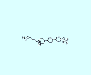 CCCCC[SiH]1CCC(c2ccc(-c3ccc(OC(F)(F)F)cc3)cc2)CC1